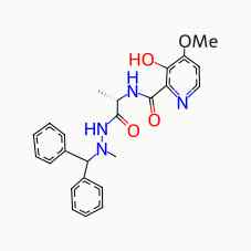 COc1ccnc(C(=O)N[C@@H](C)C(=O)NN(C)C(c2ccccc2)c2ccccc2)c1O